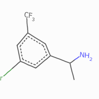 CC(N)c1cc(Br)cc(C(F)(F)F)c1